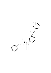 O=C(Nc1ccc2oc(-c3cccnc3)nc2c1)OCc1ccccc1